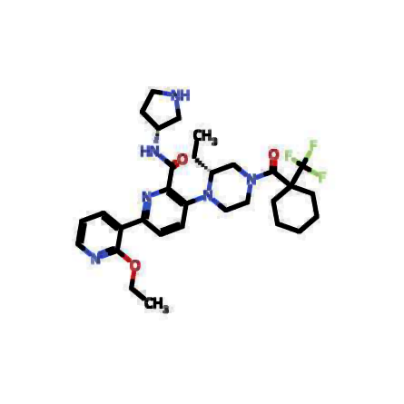 CCOc1ncccc1-c1ccc(N2CCN(C(=O)C3(C(F)(F)F)CCCCC3)C[C@H]2CC)c(C(=O)N[C@@H]2CCNC2)n1